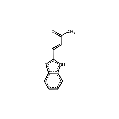 CC(=O)/C=C/c1nc2ccccc2[nH]1